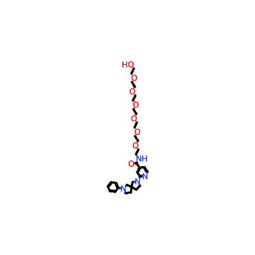 O=C(NCCOCCOCCOCCOCCOCCOCCO)c1ccnc(N2CCC3(CCN(c4ccccc4)C3)C2)c1